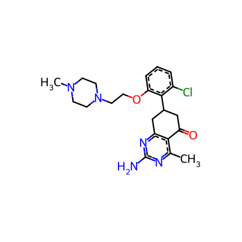 Cc1nc(N)nc2c1C(=O)CC(c1c(Cl)cccc1OCCN1CCN(C)CC1)C2